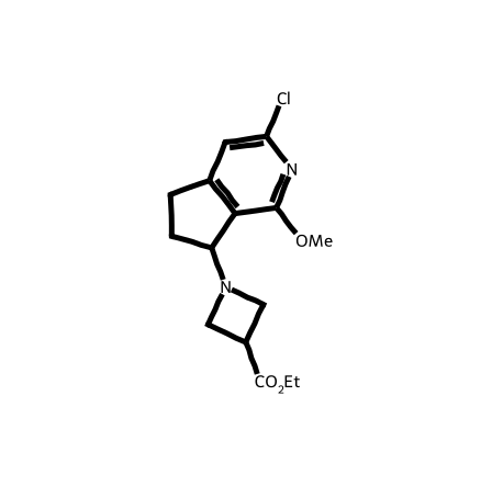 CCOC(=O)C1CN(C2CCc3cc(Cl)nc(OC)c32)C1